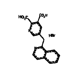 Br.O=C(O)c1cc(Cc2nccc3ccccc23)cnc1C(=O)O